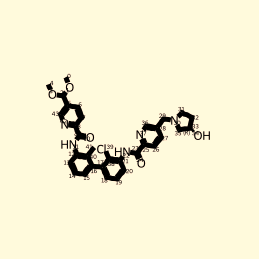 COC(OC)c1ccc(C(=O)Nc2cccc(-c3cccc(NC(=O)c4ccc(CN5CC[C@@H](O)C5)cn4)c3Cl)c2C)nc1